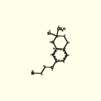 CCC1(C(=O)O)CCc2ccc(OCCBr)cc2O1